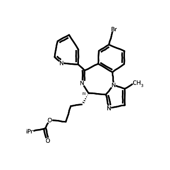 Cc1cnc2n1-c1ccc(Br)cc1C(c1ccccn1)=N[C@H]2CCCOC(=O)C(C)C